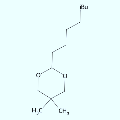 CCC(C)CCCCC1OCC(C)(C)CO1